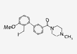 COc1cccc(-c2cccc(C(=O)N3CCN(C)CC3)c2)c1CI